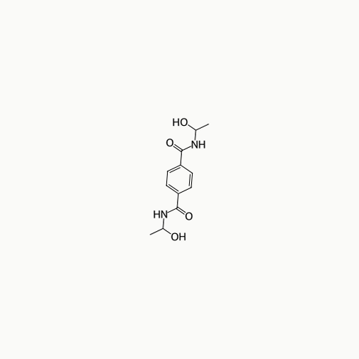 CC(O)NC(=O)c1ccc(C(=O)NC(C)O)cc1